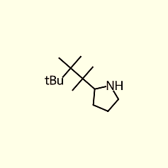 CC(C)(C)C(C)(C)C(C)(C)C1CCCN1